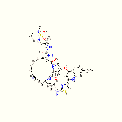 COc1ccc2c(O[C@@H]3C[C@H]4C(=O)N[C@]5(C(=O)O)CC5/C=C\CCCCC[C@H](NC(=O)N[C@H](CN5CCCN(C)S5(=O)=O)C(C)(C)C)C(=O)N4C3)cc(-c3csc(NC(C)C)n3)nc2c1